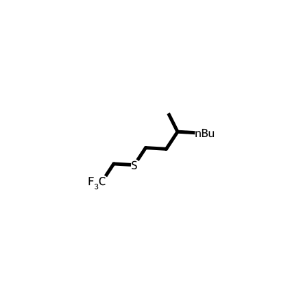 CCCCC(C)CCSCC(F)(F)F